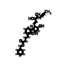 CC#CC[C@H](C)[C@H](O)/C=C/[C@@H]1[C@H]2c3cccc(CCCC(=O)OCc4ccccc4)c3O[C@H]2C[C@H]1O